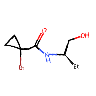 CC[C@H](CO)NC(=O)C1(Br)CC1